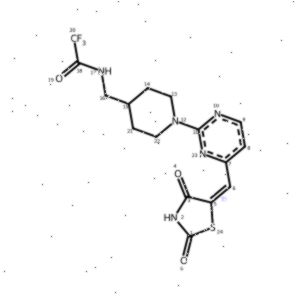 O=C1NC(=O)/C(=C\c2ccnc(N3CCC(CNC(=O)C(F)(F)F)CC3)n2)S1